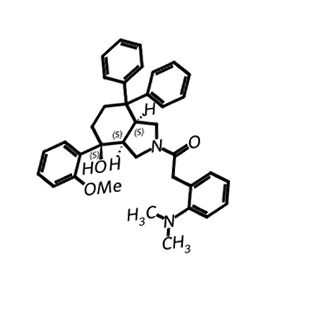 COc1ccccc1[C@]1(O)CCC(c2ccccc2)(c2ccccc2)[C@H]2CN(C(=O)Cc3ccccc3N(C)C)C[C@H]21